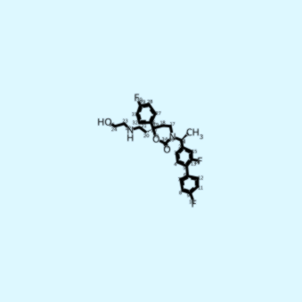 C[C@@H](c1ccc(-c2ccc(F)cc2)c(F)c1)N1CC[C@](CCNCCO)(c2ccc(F)cc2)OC1=O